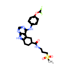 CS(=O)(=O)CCCNC(=O)C1CCc2[nH]c3ncnc(Nc4ccc(OC(F)F)cc4)c3c2C1